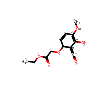 CCOC(=O)COC1C=CC(OC)=C(O)C1=C=O